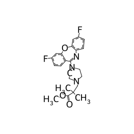 COC(=O)C(C)(C)CN1CCN(C2=Nc3ccc(F)cc3Oc3cc(F)ccc32)CC1